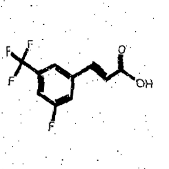 O=C(O)/C=C/c1cc(F)cc(C(F)(F)F)c1